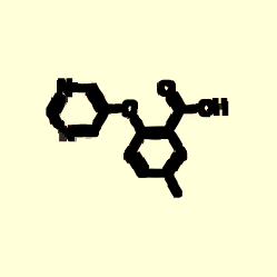 Cc1ccc(Oc2cncnc2)c(C(=O)O)c1